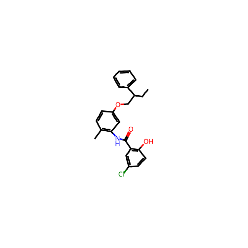 CCC(COc1ccc(C)c(NC(=O)c2cc(Cl)ccc2O)c1)c1ccccc1